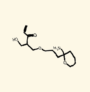 C=CC(=O)C(CO)COCCCC1([SiH3])CCCCO1